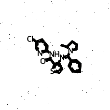 CC1CCCN1C(=Nc1ccsc1C(=O)Nc1ccc(Cl)cn1)c1cc[c]cc1